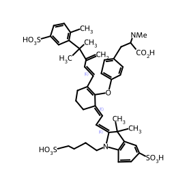 C=C(/C=C/C1=C(Oc2ccc(CC(NC)C(=O)O)cc2)C(=C/C=C2/N(CCCCS(=O)(=O)O)c3ccc(S(=O)(=O)O)cc3C2(C)C)/CCC1)C(C)(C)c1cc(S(=O)(=O)O)ccc1C